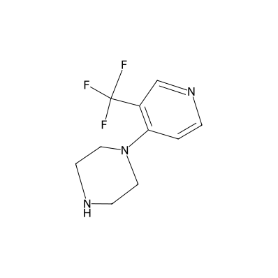 FC(F)(F)c1cnccc1N1CCNCC1